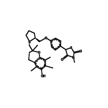 Cc1c(C)c2c(c(C)c1O)CCC(C)(CN1CCC[C@H]1COc1ccc(C3SC(=O)N(C)C3=O)cc1)O2